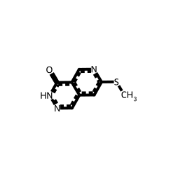 CSc1cc2cn[nH]c(=O)c2cn1